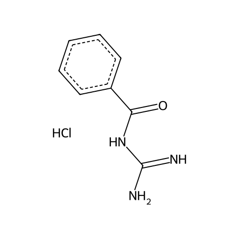 Cl.N=C(N)NC(=O)c1ccccc1